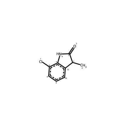 CC1C(=O)Nc2c(Cl)cccc21